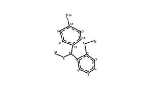 CCc1ccccc1C(CC)c1ccc(F)cc1